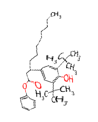 CCCCCCCCC(CC(=O)Oc1ccccc1)c1cc(C(C)(C)C)c(O)c(C(C)(C)C)c1